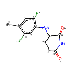 CC(C)c1cc(F)c(NC2CCC(=O)NC2=O)cc1F